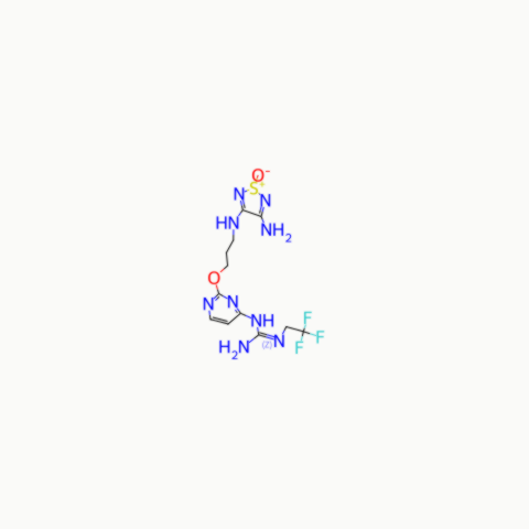 N/C(=N/CC(F)(F)F)Nc1ccnc(OCCCNc2n[s+]([O-])nc2N)n1